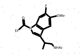 CCC(=O)n1cc(C(C)CNC(C)=O)c2cc(OC)c(F)cc21